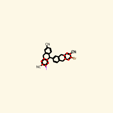 N#Cc1ccc2c(c1)C1c3cc(C45c6ccccc6C(c6cc(C#N)ccc64)c4cc(C#N)c(I)cc45)ccc3C2c2cc(Br)c(C#N)cc21